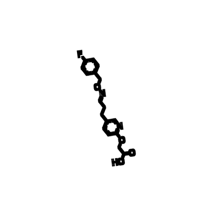 O=C(O)COc1ccc(CCC=NOCc2ccc(F)cc2)cn1